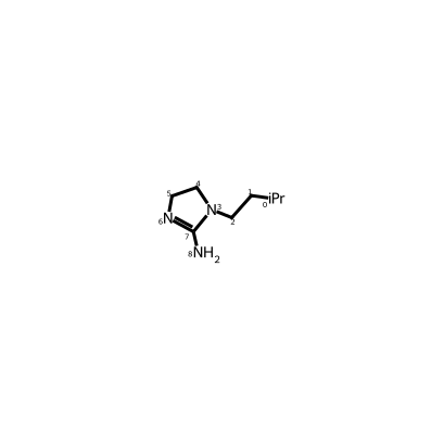 CC(C)CCN1CCN=C1N